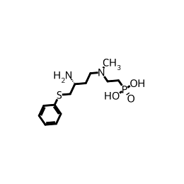 CN(CC[C@@H](N)CSc1ccccc1)CCP(=O)(O)O